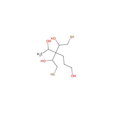 CC(O)C(CCCO)(C(O)CS)C(O)CS